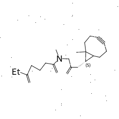 C=C(CC)CCCC(=C)N(C)CC(=C)C[C@H]1C2CCC#CCCC21C